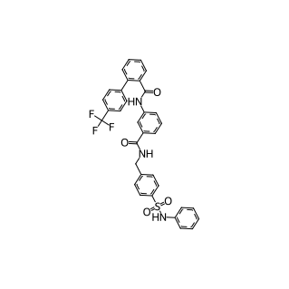 O=C(NCc1ccc(S(=O)(=O)Nc2ccccc2)cc1)c1cccc(NC(=O)c2ccccc2-c2ccc(C(F)(F)F)cc2)c1